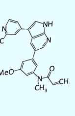 C=CC(=O)N(C)c1cc(OC)cc(-c2cnc3[nH]cc(-c4ccnc(C#N)c4)c3c2)c1